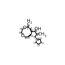 C=C1/C=C(C(O)C(C)CN2CCCC2)\C=C/COCCO1